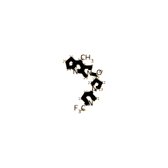 Cc1c2c(nc3c1CN(C(=O)[C@@H]1CCN(c4ccc(C(F)(F)F)nc4)C1)C3)CCC2